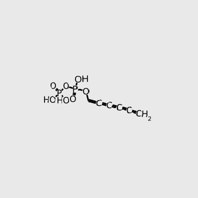 C=C=C=C=C=COP(=O)(O)OP(=O)(O)O